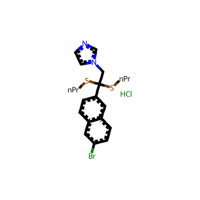 CCCSC(Cn1ccnc1)(SCCC)c1ccc2cc(Br)ccc2c1.Cl